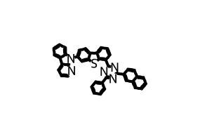 c1ccc(-c2nc(-c3ccc4ccccc4c3)nc(-c3cccc4c3sc3cc(-n5c6ccccc6c6cccnc65)ccc34)n2)cc1